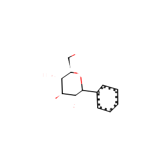 OC[C@H]1OC(c2cc[c]cc2)[C@H](O)[C@@H](O)[C@@H]1O